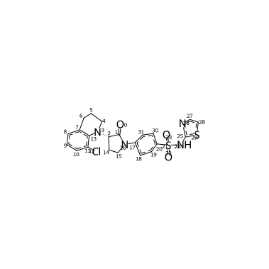 O=C1[C@@H](N2CCCc3cccc(Cl)c32)CCN1c1ccc(S(=O)(=O)Nc2nccs2)cc1